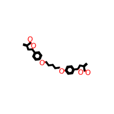 C=C1CC(c2ccc(OCCCCCOc3ccc(C4CC(=C)C(=O)O4)cc3)cc2)OC1=O